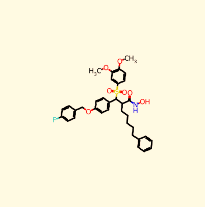 COc1ccc(S(=O)(=O)C(c2ccc(OCc3ccc(F)cc3)cc2)C(CCCCCc2ccccc2)C(=O)NO)cc1OC